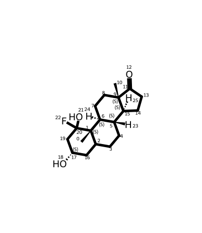 C[C@]12C(CC[C@@H]3[C@@H]1CC[C@]1(C)C(=O)CC[C@@H]31)C[C@H](O)CC2(O)F